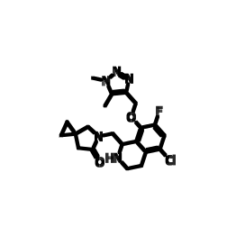 Cc1c(COc2c(F)cc(Cl)c3c2C(CN2CC4(CC4)CC2=O)NCC3)nnn1C